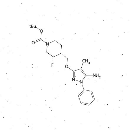 Cc1c(OC[C@H]2CCN(C(=O)OC(C)(C)C)C[C@H]2F)nn(-c2ccccc2)c1N